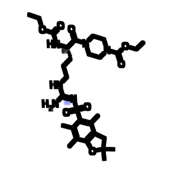 CCOC(=O)N[C@@H](CCCN/C(N)=N/S(=O)(=O)c1c(C)c(C)c2c(c1C)CC(C)(C)O2)C(=O)N1CCN(C(=O)OCC)CC1